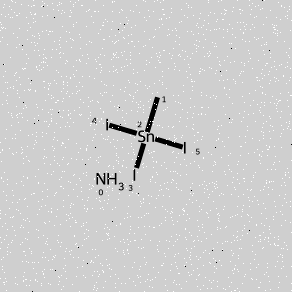 N.[CH3][Sn]([I])([I])[I]